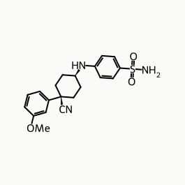 COc1cccc([C@]2(C#N)CC[C@@H](Nc3ccc(S(N)(=O)=O)cc3)CC2)c1